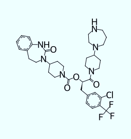 O=C(O[C@H](Cc1ccc(C(F)(F)F)c(Cl)c1)C(=O)N1CCC(N2CCCNCC2)CC1)N1CCC(N2CCc3ccccc3NC2=O)CC1